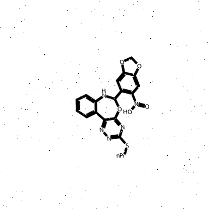 CCCSc1nnc2c(n1)OC(c1cc3c(cc1[N+](=O)O)OCO3)Nc1ccccc1-2